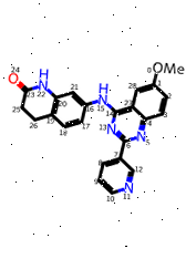 COc1ccc2nc(-c3cccnc3)nc(Nc3ccc4c(c3)NC(=O)CC4)c2c1